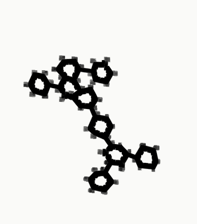 c1ccc(-c2cc(-c3ccc(-c4ccc5c(c4)nc(-c4ccccc4)c4cccc(-c6cccnc6)c45)cc3)nc(-c3ccccc3)n2)cc1